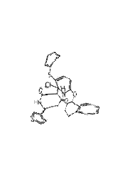 O=C1CC(c2ccsc2)NC(=O)C1C1(Cl)NC(OC2CCCc3ccccc32)=CC=C1Sc1ccccc1